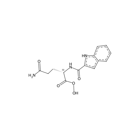 NC(=O)CC[C@H](NC(=O)c1cc2ccccc2[nH]1)C(=O)OO